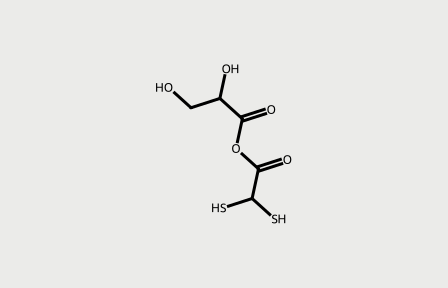 O=C(OC(=O)C(O)CO)C(S)S